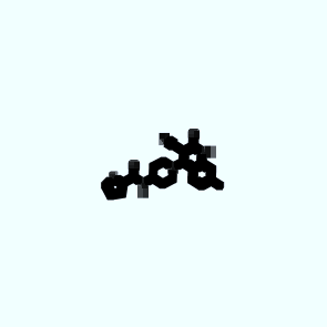 Cc1ccc2c(N3CCC(NC(=O)c4cccs4)CC3)c(C#N)c(=O)[nH]c2c1